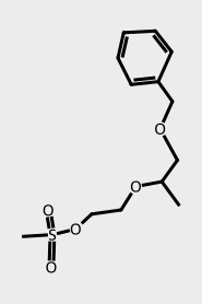 CC(COCc1ccccc1)OCCOS(C)(=O)=O